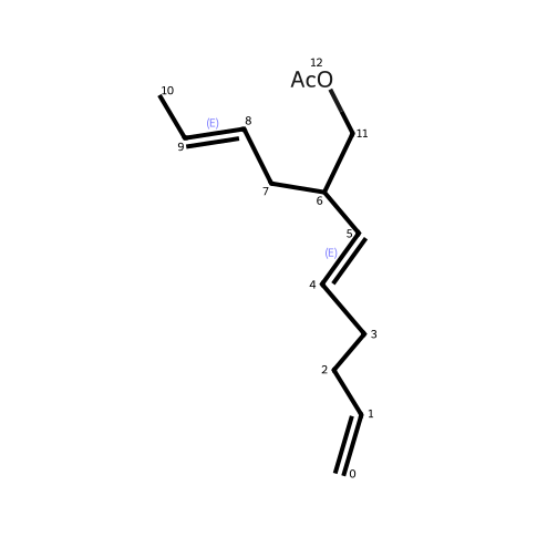 C=CCC/C=C/C(C/C=C/C)COC(C)=O